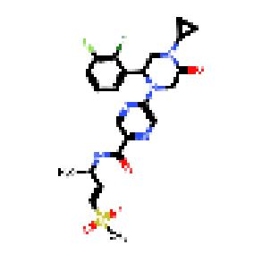 C[C@H](/C=C/S(C)(=O)=O)NC(=O)c1cnc(N2CC(=O)N(C3CC3)CC2c2cccc(F)c2Cl)cn1